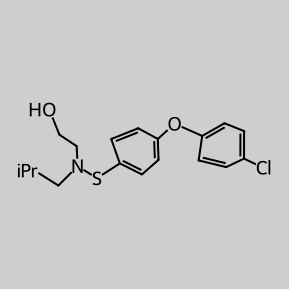 CC(C)CN(CCO)Sc1ccc(Oc2ccc(Cl)cc2)cc1